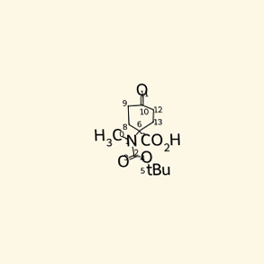 CN(C(=O)OC(C)(C)C)C1(C(=O)O)CCC(=O)CC1